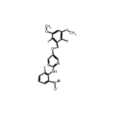 COc1cc(OC)c(F)c(COc2cnc(Nc3c(F)cccc3[N+](=O)[O-])nc2)c1F